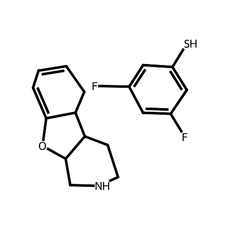 C1=CCC2C(=C1)OC1CNCCC12.Fc1cc(F)cc(S)c1